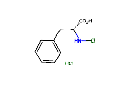 Cl.O=C(O)[C@@H](Cc1ccccc1)NCl